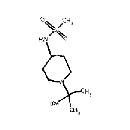 CC(C)(C)C(C)(C)N1CCC(NS(C)(=O)=O)CC1